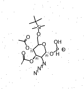 CC(=O)O[C@@H]1C(CO[Si](C)(C)C(C)(C)C)O[C@H](O[PH](=O)O)C(N=[N+]=[N-])[C@H]1OC(C)=O